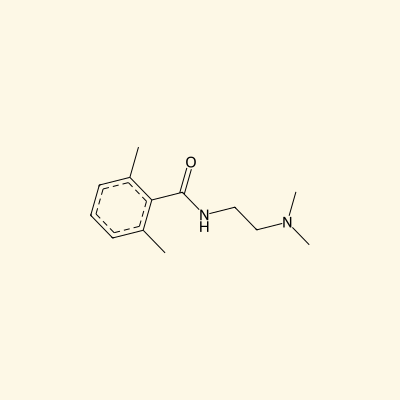 Cc1cccc(C)c1C(=O)NCCN(C)C